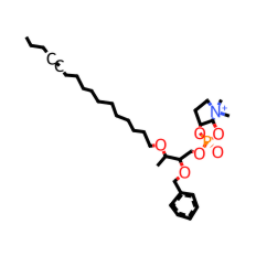 CCCCCCCCCCCCCCCCOC(C)C(COP1(=O)OC2CC[N+](C)(C)C2O1)OCc1ccccc1